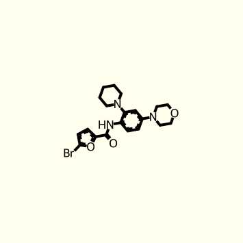 O=C(Nc1ccc(N2CCOCC2)cc1N1CCCCC1)c1ccc(Br)o1